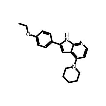 CCOc1ccc(-c2cc3c(N4CCCCC4)ccnc3[nH]2)cc1